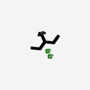 CC[CH]([Al+2])CC.[Cl-].[Cl-]